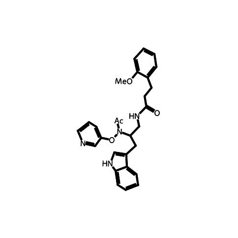 COc1ccccc1CCC(=O)NCC(Cc1c[nH]c2ccccc12)N(Oc1cccnc1)C(C)=O